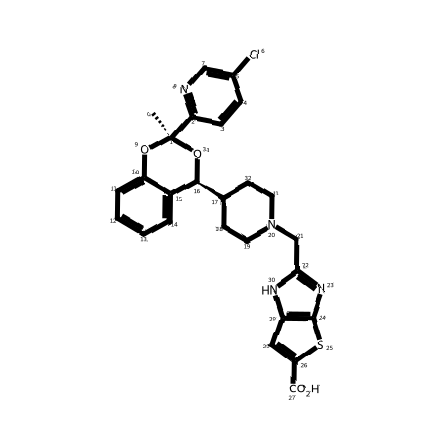 C[C@@]1(c2ccc(Cl)cn2)Oc2ccccc2[C@H](C2CCN(Cc3nc4sc(C(=O)O)cc4[nH]3)CC2)O1